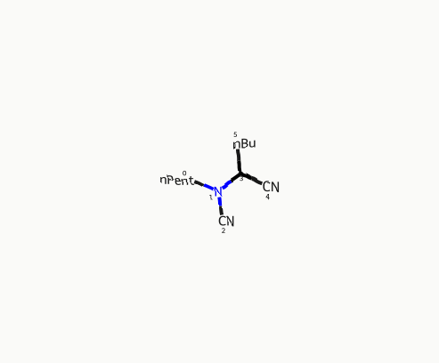 CCCCCN(C#N)C(C#N)CCCC